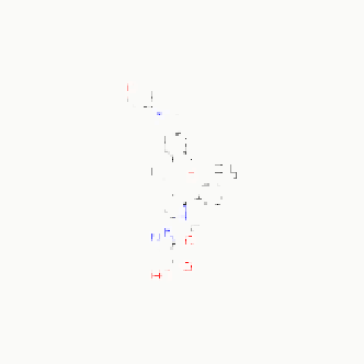 COc1c(C(=O)O)cnn1-c1cccc(-c2cccc(C)c2OCc2cc3c(cc2C)CN(C2CCOCC2)CC3)n1